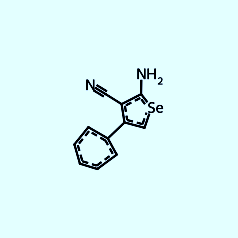 N#Cc1c(-c2ccccc2)c[se]c1N